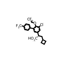 O=C(O)[C@@H](CC1CCC1)c1cc(Cl)c(OCC(F)(F)F)c(-c2ccc(C(F)(F)F)cc2)c1